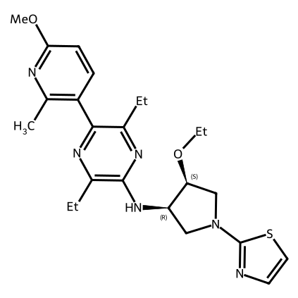 CCO[C@H]1CN(c2nccs2)C[C@H]1Nc1nc(CC)c(-c2ccc(OC)nc2C)nc1CC